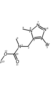 CN(Cc1c(Br)nnn1C)C(=O)OC(C)(C)C